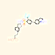 O=C(O)CCc1ccc2c(c1)CC(NS(=O)(=O)c1ccc(-c3ccc4[nH]ccc4c3)cc1C(F)(F)F)C2